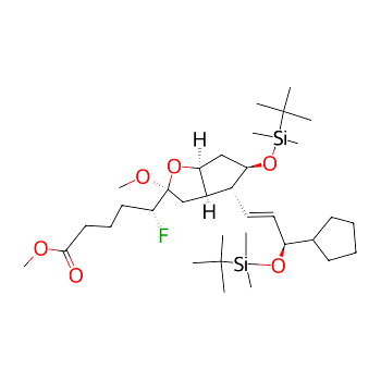 COC(=O)CCC[C@@H](F)[C@]1(OC)C[C@@H]2[C@@H](/C=C/[C@H](O[Si](C)(C)C(C)(C)C)C3CCCC3)[C@H](O[Si](C)(C)C(C)(C)C)C[C@@H]2O1